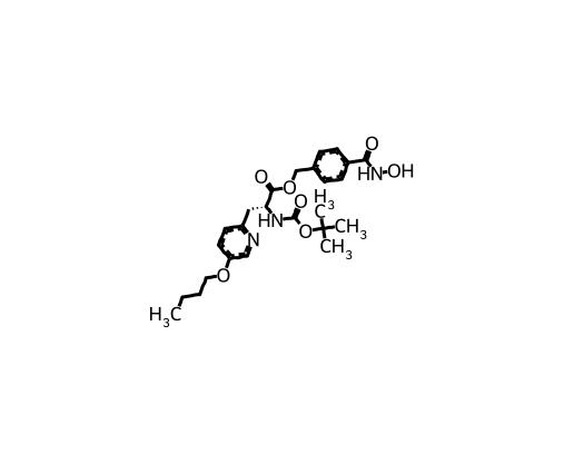 CCCCOc1ccc(C[C@@H](NC(=O)OC(C)(C)C)C(=O)OCc2ccc(C(=O)NO)cc2)nc1